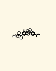 CCC(C)c1ccc(S(=O)(=O)Oc2c(C)cc(C(=O)C(=O)O)cc2C)cc1